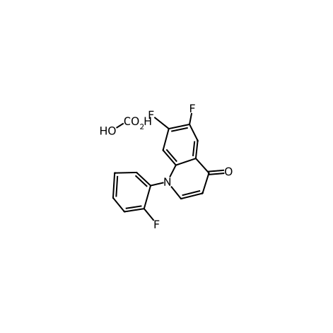 O=C(O)O.O=c1ccn(-c2ccccc2F)c2cc(F)c(F)cc12